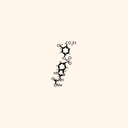 CCOC(=O)c1ccc(OS(=O)(=O)c2ccc3[nH]c(NC(=O)OC)nc3c2)cc1Cl